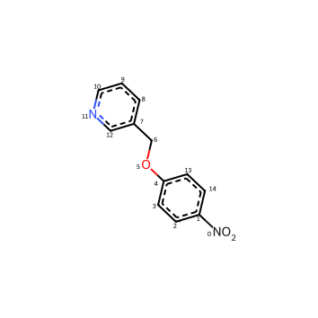 O=[N+]([O-])c1[c]cc(OCc2cccnc2)cc1